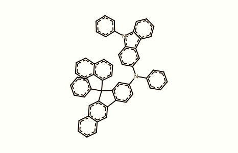 c1ccc(N(c2ccc3c(c2)C(c2ccccc2)(c2cccc4ccccc24)c2cc4ccccc4cc2-3)c2ccc3c(c2)c2ccccc2n3-c2ccccc2)cc1